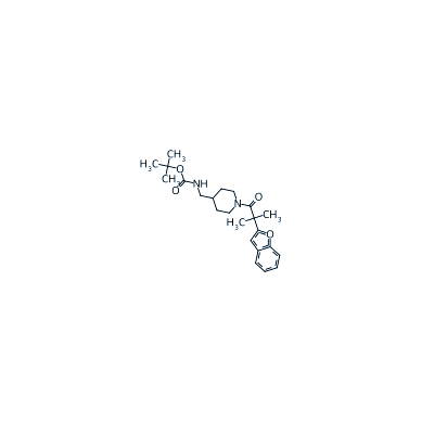 CC(C)(C)OC(=O)NCC1CCN(C(=O)C(C)(C)c2cc3ccccc3o2)CC1